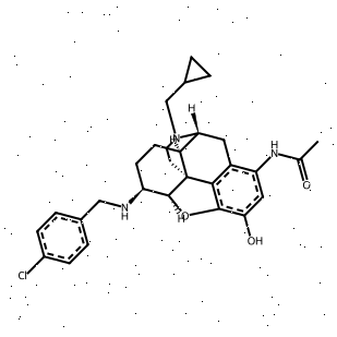 CC(=O)Nc1cc(O)c2c3c1C[C@@H]1[C@@H]4CC[C@H](NCc5ccc(Cl)cc5)[C@H](O2)[C@]34CCN1CC1CC1